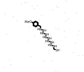 COc1ccc(CBBBBBBBBBBCS)cc1